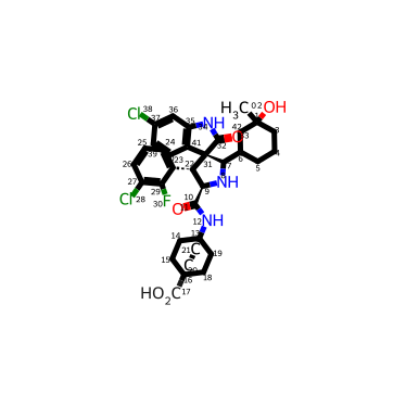 CC1(O)CCCC(C2N[C@@H](C(=O)NC34CCC(C(=O)O)(CC3)CC4)[C@H](c3cccc(Cl)c3F)[C@]23C(=O)Nc2cc(Cl)ccc23)C1